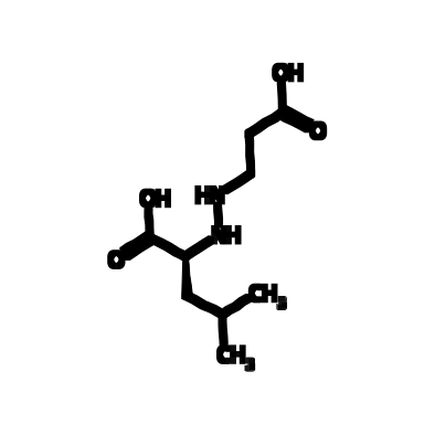 CC(C)C[C@H](NNCCC(=O)O)C(=O)O